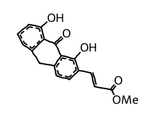 COC(=O)C=Cc1ccc2c(c1O)C(=O)c1c(O)cccc1C2